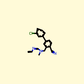 C=C/N=C\N(C)Cc1cc(-c2cccc(Cl)c2)ccc1C#N